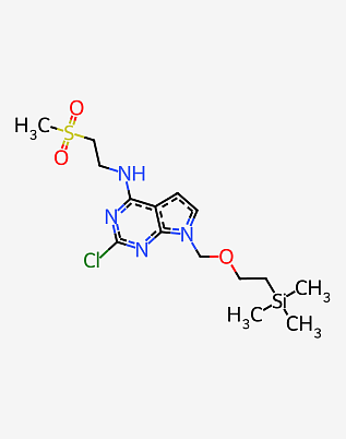 C[Si](C)(C)CCOCn1ccc2c(NCCS(C)(=O)=O)nc(Cl)nc21